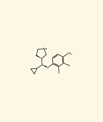 Cc1ccc(O[C@@H](C2CC2)[C@H]2CCNC2)c(F)c1F